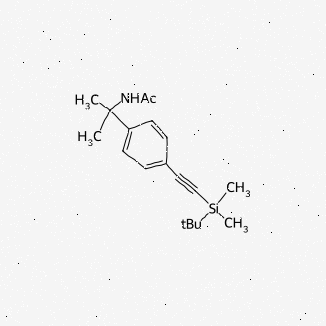 CC(=O)NC(C)(C)c1ccc(C#C[Si](C)(C)C(C)(C)C)cc1